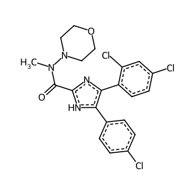 CN(C(=O)c1nc(-c2ccc(Cl)cc2Cl)c(-c2ccc(Cl)cc2)[nH]1)N1CCOCC1